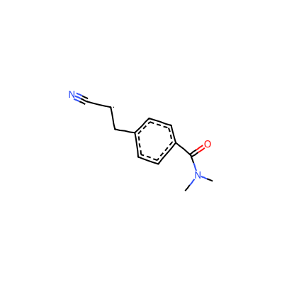 CN(C)C(=O)c1ccc(C[CH]C#N)cc1